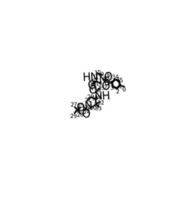 Cc1ccc(S(=O)(=O)N2C=CNC(=O)[C@H]2CC(=O)N[C@@H]2CCN(C(=O)OC(C)(C)C)CC2(C)C)cc1